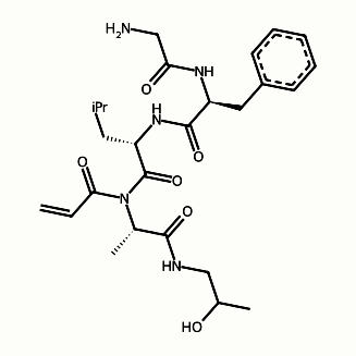 C=CC(=O)N(C(=O)[C@H](CC(C)C)NC(=O)[C@H](Cc1ccccc1)NC(=O)CN)[C@@H](C)C(=O)NCC(C)O